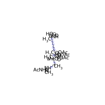 COC(=O)C1OC(OC(/C(C)=C/C(C)CCC/C=C/C(C)C/C=C/CCCN(C)C(=N)NC(C)=O)C(C)/C=C/C=C/C=C/C=C/C=C(\C)C(=O)NC2=C(O)CCC2=O)C(OC(C)=O)C(OC(C)=O)C1OC(C)=O